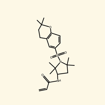 C=CC(=O)NC1CC(C)(C)N(S(=O)(=O)c2ccc3c(c2)CCC(C)(C)O3)C1(C)C